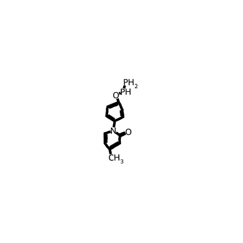 Cc1ccn(-c2ccc(OPP)cc2)c(=O)c1